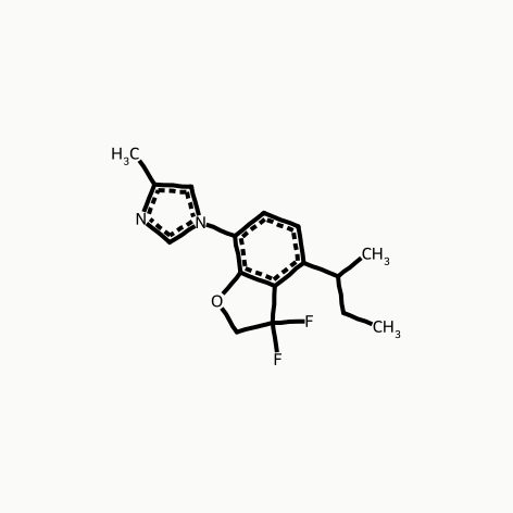 CCC(C)c1ccc(-n2cnc(C)c2)c2c1C(F)(F)CO2